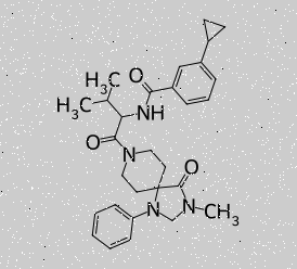 CC(C)C(NC(=O)c1cccc(C2CC2)c1)C(=O)N1CCC2(CC1)C(=O)N(C)CN2c1ccccc1